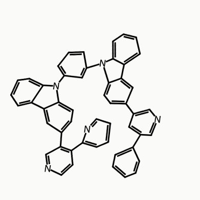 c1ccc(-c2cncc(-c3ccc4c(c3)c3ccccc3n4-c3cccc(-n4c5ccccc5c5cc(-c6cnccc6-c6ccccn6)ccc54)c3)c2)cc1